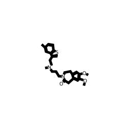 COc1cc2c(cc1OC)CC(=O)N(CCCN(C)CCc1csc3ccc(C)cc13)CC2